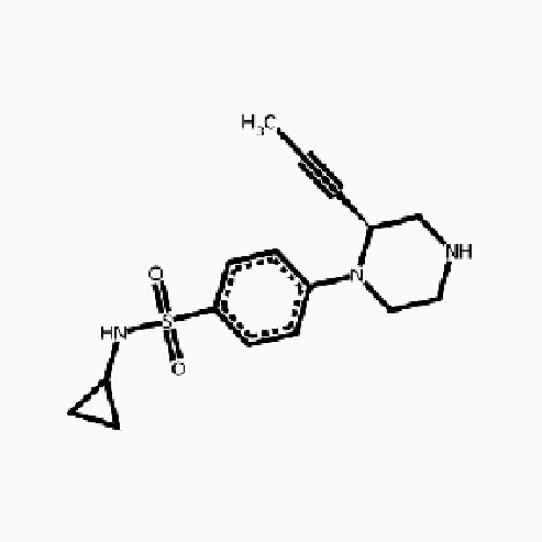 CC#C[C@H]1CNCCN1c1ccc(S(=O)(=O)NC2CC2)cc1